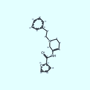 O=C(NC1=[C]CCN(CCc2ccccc2)C1)c1ccco1